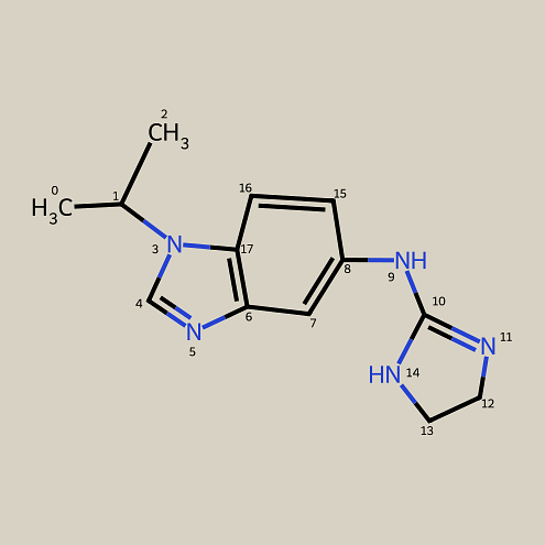 CC(C)n1cnc2cc(NC3=NCCN3)ccc21